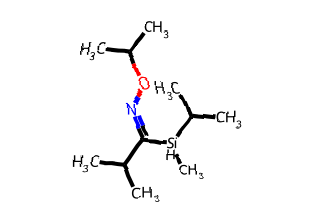 CC(C)ON=C(C(C)C)[SiH](C)C(C)C